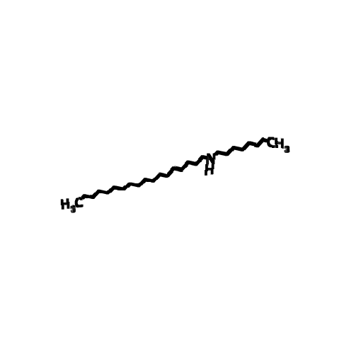 CCCCCCCCCCCCCCCCCCNCCCCCCCC